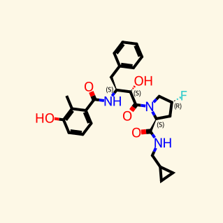 Cc1c(O)cccc1C(=O)N[C@@H](Cc1ccccc1)[C@H](O)C(=O)N1C[C@H](F)C[C@H]1C(=O)NCC1CC1